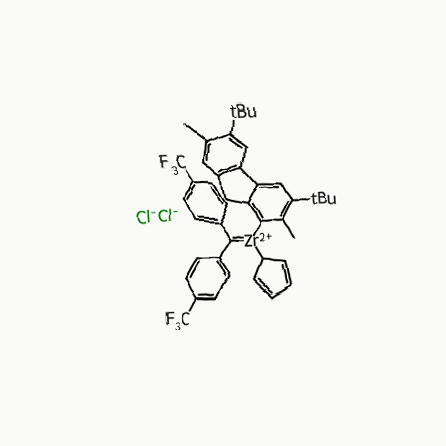 Cc1cc2c(cc1C(C)(C)C)-c1cc(C(C)(C)C)c(C)[c]([Zr+2](=[C](c3ccc(C(F)(F)F)cc3)c3ccc(C(F)(F)F)cc3)[CH]3C=CC=C3)c1C2.[Cl-].[Cl-]